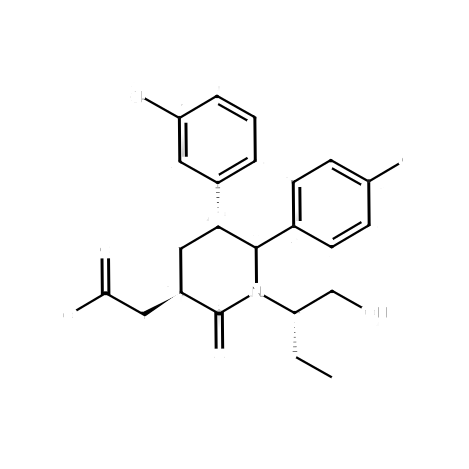 CC[C@@H](CO)N1C(=O)[C@@H](CC(=O)O)C[C@H](c2cccc(Cl)c2)C1c1ccc(Cl)cc1